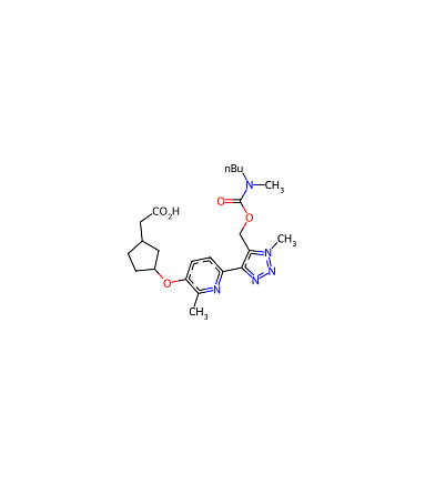 CCCCN(C)C(=O)OCc1c(-c2ccc(OC3CCC(CC(=O)O)C3)c(C)n2)nnn1C